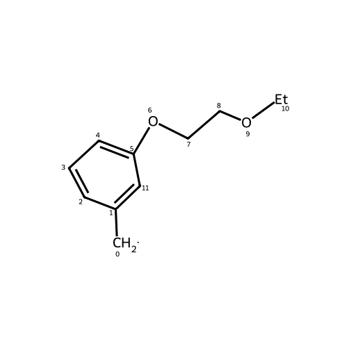 [CH2]c1cccc(OCCOCC)c1